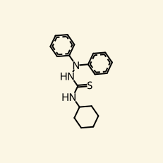 S=C(NC1CCCCC1)NN(c1ccccc1)c1ccccc1